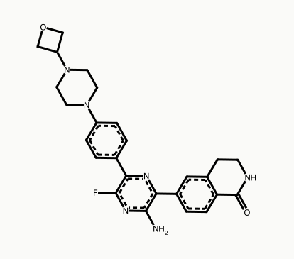 Nc1nc(F)c(-c2ccc(N3CCN(C4COC4)CC3)cc2)nc1-c1ccc2c(c1)CCNC2=O